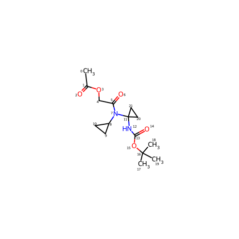 CC(=O)OCC(=O)N(C1CC1)C1(NC(=O)OC(C)(C)C)CC1